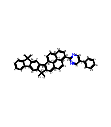 CC1(C)c2ccccc2-c2cc3c(cc21)-c1c(cc2ccc4c(-c5ncc(-c6ccccc6)cn5)ccc5ccc1c2c54)C3(C)C